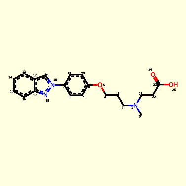 CN(CCCOc1ccc(-n2cc3ccccc3n2)cc1)CCC(=O)O